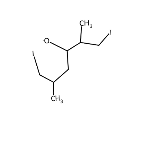 CC(CI)CC([O])C(C)CI